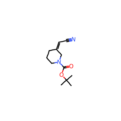 CC(C)(C)OC(=O)N1CCCC(=CC#N)C1